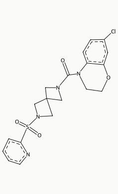 O=C(N1CC2(C1)CN(S(=O)(=O)c1ccccn1)C2)N1CCOc2cc(Cl)ccc21